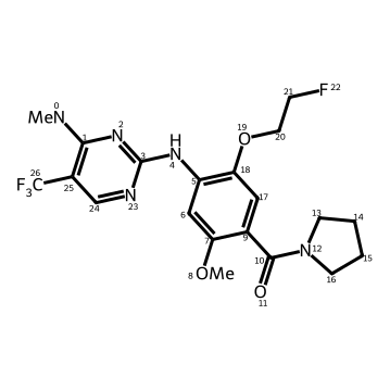 CNc1nc(Nc2cc(OC)c(C(=O)N3CCCC3)cc2OCCF)ncc1C(F)(F)F